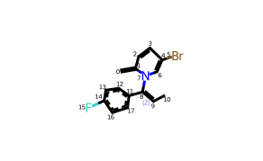 C=C1C=CC(Br)=CN1/C(=C\C)c1ccc(F)cc1